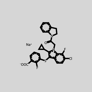 O=C([O-])c1cccc(Sc2c(C3CC3)n(CC(=O)N3CCc4ccccc43)c3c(F)c(Cl)ccc23)c1F.[Na+]